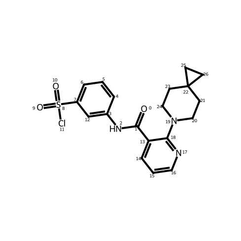 O=C(Nc1cccc(S(=O)(=O)Cl)c1)c1cccnc1N1CCC2(CC1)CC2